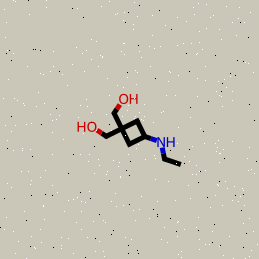 CCNC1CC(CO)(CO)C1